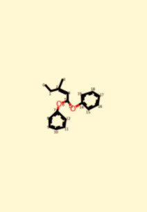 CCC(C)=CC(Oc1ccccc1)Oc1ccccc1